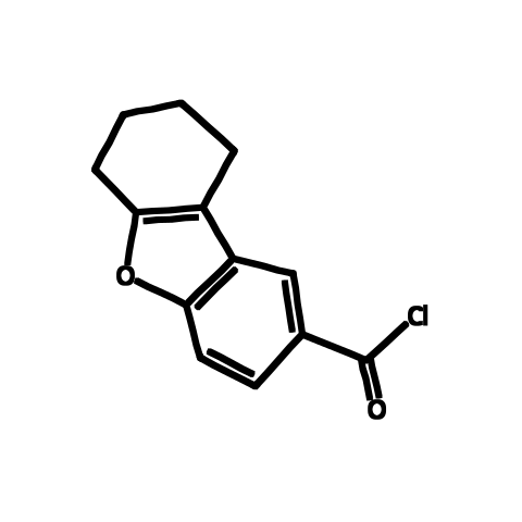 O=C(Cl)c1ccc2oc3c(c2c1)CCCC3